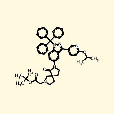 CC(C)Oc1ccc(-c2nn(C(c3ccccc3)(c3ccccc3)c3ccccc3)c3ccc(N4CC[C@]5(CCN(CC(=O)OC(C)(C)C)C5)C4=O)cc23)cn1